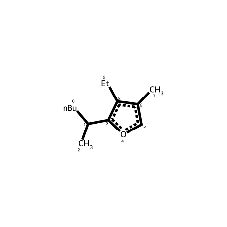 CCCCC(C)c1occ(C)c1CC